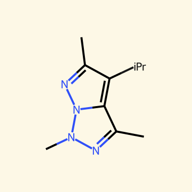 Cc1nn2c(c(C)nn2C)c1C(C)C